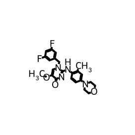 COc1cn(Cc2cc(F)cc(F)c2)c(Nc2ccc(N3CCOCC3)cc2C)nc1=O